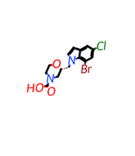 O=C(O)N1CCO[C@H](Cn2ccc3cc(Cl)cc(Br)c32)C1